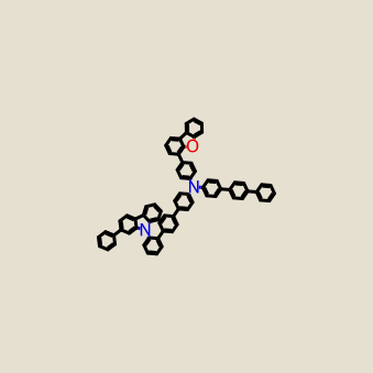 c1ccc(-c2ccc(-c3ccc(N(c4ccc(-c5ccc(-c6ccccc6-n6c7ccccc7c7ccc(-c8ccccc8)cc76)cc5)cc4)c4ccc(-c5cccc6c5oc5ccccc56)cc4)cc3)cc2)cc1